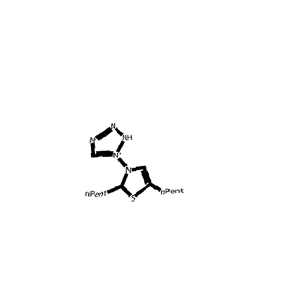 CCCCCC1=CN([n+]2cnn[nH]2)C(CCCCC)S1